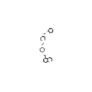 O=C(N[C@H]1CC[C@H](CCN2CCc3nc(Oc4ccccc4)sc3C2)CC1)c1cccc2ncccc12